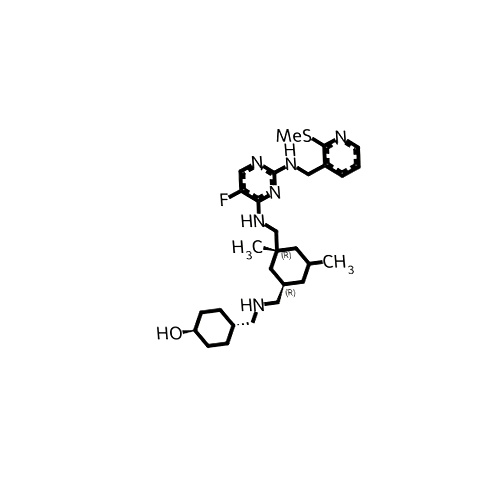 CSc1ncccc1CNc1ncc(F)c(NC[C@]2(C)CC(C)C[C@@H](CNC[C@H]3CC[C@H](O)CC3)C2)n1